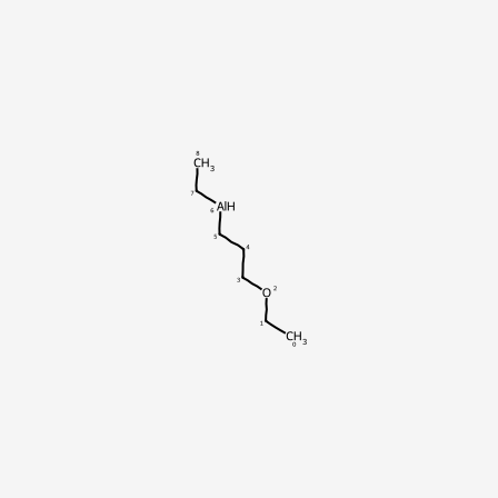 CCOCC[CH2][AlH][CH2]C